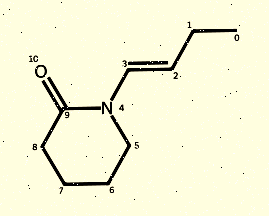 CCC=CN1CCCCC1=O